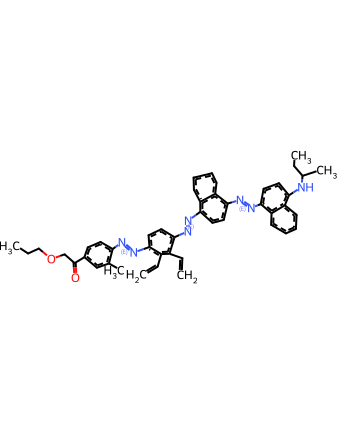 C=Cc1c(/N=N/c2ccc(C(=O)COCCC)cc2C)ccc(/N=N/c2ccc(/N=N/c3ccc(NC(C)CC)c4ccccc34)c3ccccc23)c1C=C